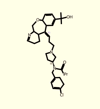 CC(C)C(=O)N(CC1=CC=C(Cl)CC1)[C@H]1CCN(CC/C=C2/C3C=C(C(C)(C)O)C=CC3OCC3N=CCCC23)C1